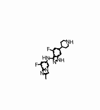 Cc1cn2cc(Nc3n[nH]c4cc(C5CCNCC5)cc(F)c34)cc(F)c2n1